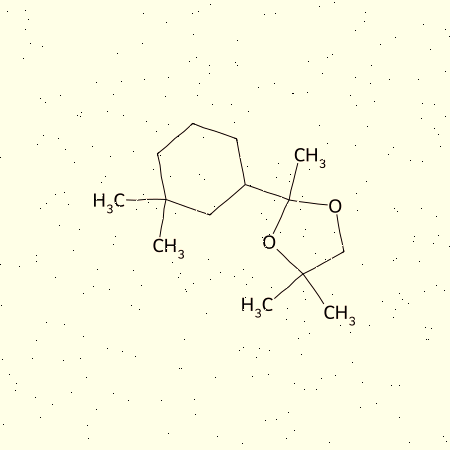 CC1(C)CCCC(C2(C)OCC(C)(C)O2)C1